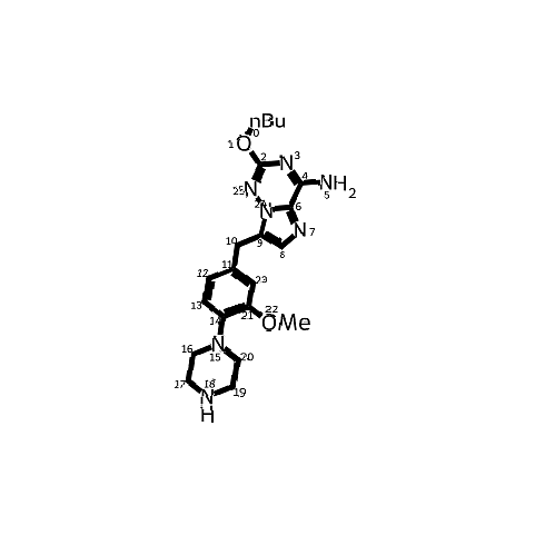 CCCCOc1nc(N)c2ncc(Cc3ccc(N4CCNCC4)c(OC)c3)n2n1